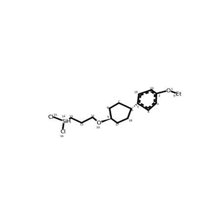 CCOc1ccc([C@H]2CC[C@H](OCCC[SiH](Cl)Cl)CC2)cc1